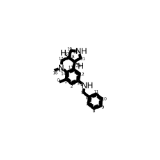 Cc1cc(NCc2ccccc2)cc2c1N(C)C[C@H]1CNC[C@@H]21